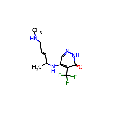 CNC/C=C/[C@H](C)Nc1cn[nH]c(=O)c1C(F)(F)F